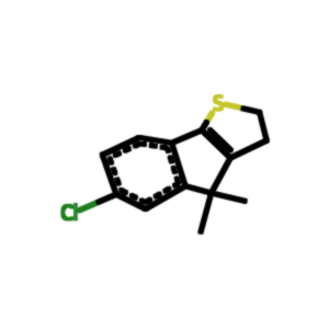 CC1(C)C2=C(SCC2)c2ccc(Cl)cc21